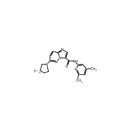 Cc1cc(C)nc(NC(=O)c2cnc3ccc(N4CC[C@H](F)C4)nn23)c1